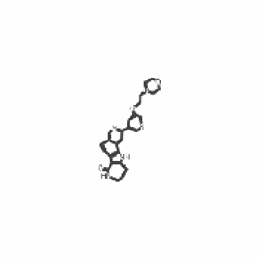 O=C1NCCCc2[nH]c3c(ccc4cnc(-c5cncc(OCCN6CCOCC6)c5)cc43)c21